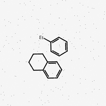 CCc1ccccc1.c1ccc2c(c1)CCCC2